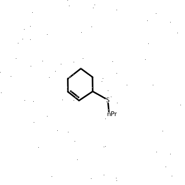 CCCSC1C=CCCC1